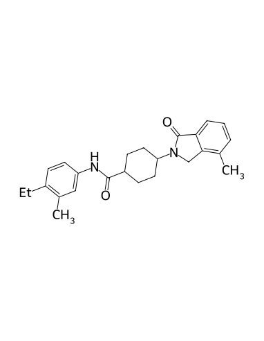 CCc1ccc(NC(=O)C2CCC(N3Cc4c(C)cccc4C3=O)CC2)cc1C